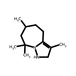 CC1=C2CCC(C)CC(C)(C)N2NC1